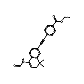 CCOC(=O)c1ccc(C#Cc2ccc3c(c2)C(C)(C)CC=C3NC=O)cc1